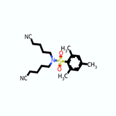 Cc1cc(C)c(S(=O)(=O)N(CCCCC#N)CCCCC#N)c(C)c1